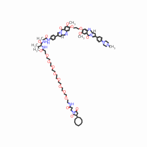 COc1cc2c(cc1OCCCOc1cc3c(cc1OC)C(=O)N1C=C(c4ccc(N5CCN(C)CC5)cc4)C[C@H]1C=N3)N=C[C@@H]1CC(c3ccc(NC(=O)[C@H](C)NC(=O)[C@@H](NC(=O)CCOCCOCCOCCOCCOCCOCCOCCOCCNC(=O)CCN4C(=O)CC(C5CCCCCCCC5)C4=O)C(C)C)cc3)=CN1C2=O